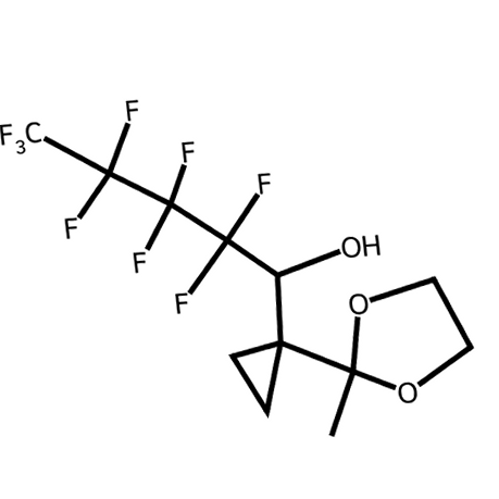 CC1(C2(C(O)C(F)(F)C(F)(F)C(F)(F)C(F)(F)F)CC2)OCCO1